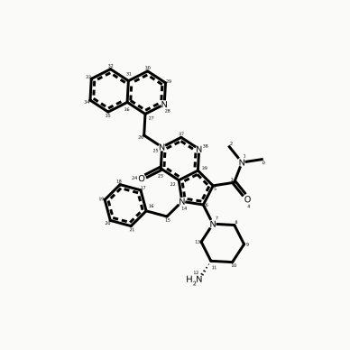 CN(C)C(=O)c1c(N2CCC[C@H](N)C2)n(Cc2ccccc2)c2c(=O)n(Cc3nccc4ccccc34)cnc12